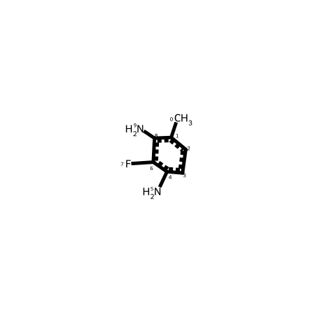 Cc1ccc(N)c(F)c1N